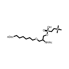 CCCCCCCCCCCCCCCCOCC(COP(=O)(O)CC[N+](C)(C)C)NC(C)=O